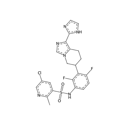 Cc1ncc(Cl)cc1S(=O)(=O)Nc1ccc(F)c(C2CCc3c(-c4ncc[nH]4)ncn3C2)c1F